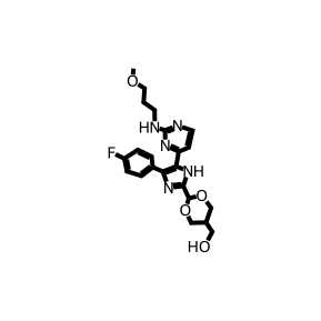 COCCCNc1nccc(-c2[nH]c(C3OCC(CO)CO3)nc2-c2ccc(F)cc2)n1